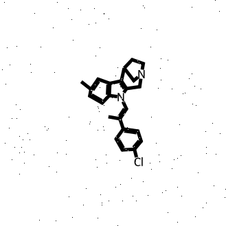 C/C(=C\n1c2c(c3cc(C)ccc31)C1CCN(C2)C1)c1ccc(Cl)cc1